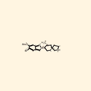 COc1cc2nn([C@@H]3CC[C@]4(CCNC4)C[C@H]3C)cc2cc1Br